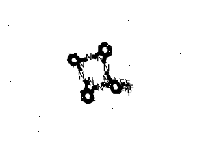 [F][Zn]([F])([F])([F])[c]1ccc2c3nc4nc(nc5[nH]c(nc6nc(nc([nH]3)c2c1)-c1ccccc1-6)c1ccccc51)-c1ccccc1-4